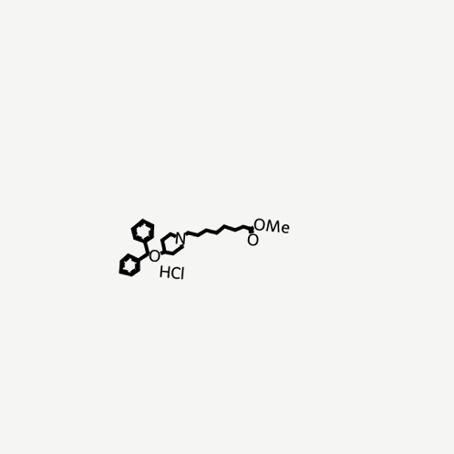 COC(=O)CCCCCCCN1CCC(OC(c2ccccc2)c2ccccc2)CC1.Cl